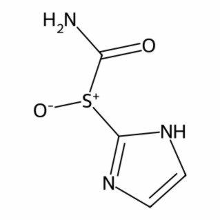 NC(=O)[S+]([O-])c1ncc[nH]1